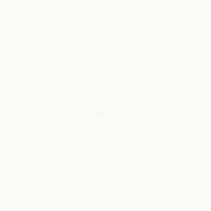 c1ccc(-c2ccccc2-c2cc(-c3cccc4c3-c3cc5c6ccccc6oc5c5cccc-4c35)cc(-c3ccc(-c4ccc5ccccc5c4)cc3)n2)cc1